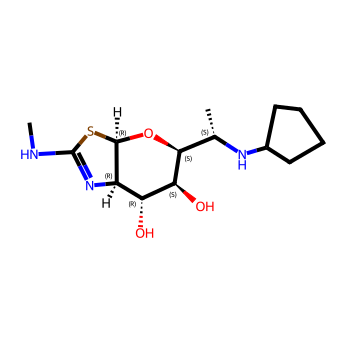 CNC1=N[C@@H]2[C@@H](O)[C@H](O)[C@H]([C@H](C)NC3CCCC3)O[C@@H]2S1